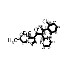 C[C@@H](O)Cn1ncc(-c2onc(-c3c(F)cccc3Cl)c2-c2ncccn2)c1C(F)(F)F